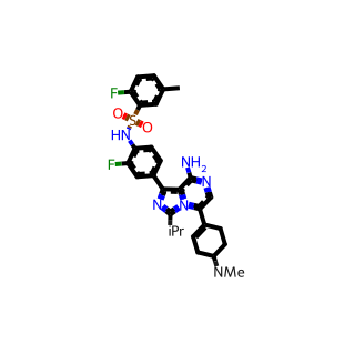 CNC1CC=C(c2cnc(N)c3c(-c4ccc(NS(=O)(=O)c5cc(C)ccc5F)c(F)c4)nc(C(C)C)n23)CC1